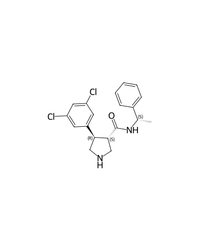 C[C@H](NC(=O)[C@@H]1CNC[C@H]1c1cc(Cl)cc(Cl)c1)c1ccccc1